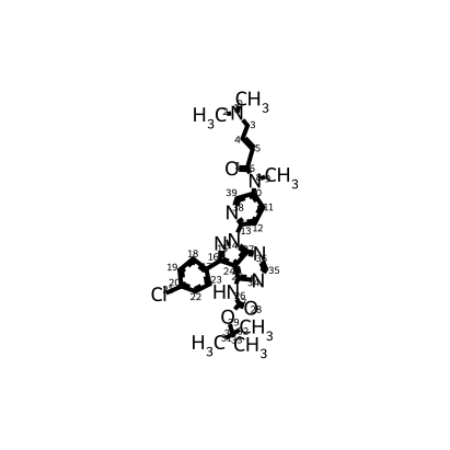 CN(C)C/C=C/C(=O)N(C)c1ccc(-n2nc(-c3ccc(Cl)cc3)c3c(NC(=O)OC(C)(C)C)ncnc32)nc1